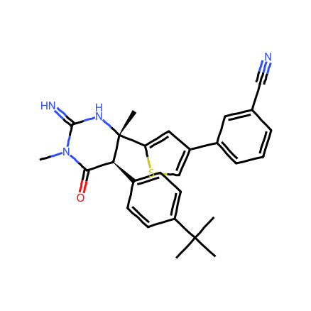 CN1C(=N)N[C@](C)(c2cc(-c3cccc(C#N)c3)cs2)[C@@H](c2ccc(C(C)(C)C)cc2)C1=O